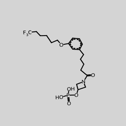 O=C(CCCCc1cccc(OCCCCCC(F)(F)F)c1)N1CC(OP(=O)(O)O)C1